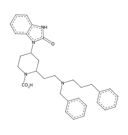 O=C(O)N1CCC(n2c(=O)[nH]c3ccccc32)CC1CCN(CCCc1ccccc1)Cc1ccccc1